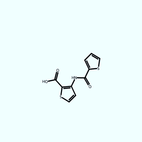 O=C(Nc1ccsc1C(=O)O)c1cccs1